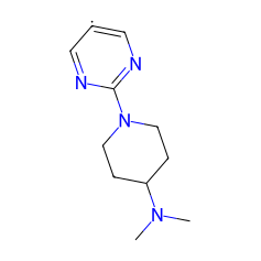 CN(C)C1CCN(c2nc[c]cn2)CC1